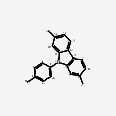 Cc1ccc(B2c3cc(C)ccc3-c3ccc(C)cc32)cc1